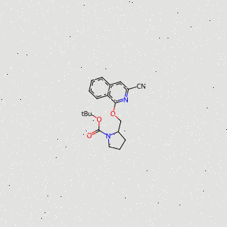 CC(C)(C)OC(=O)N1CCCC1COc1nc(C#N)cc2ccccc12